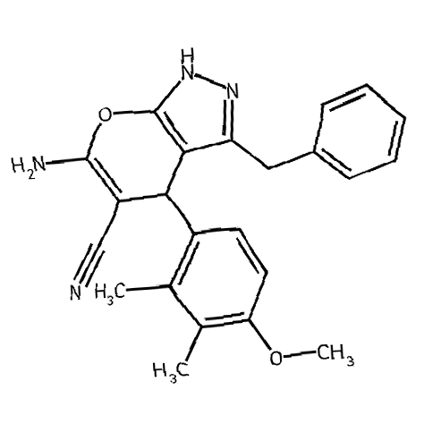 COc1ccc(C2C(C#N)=C(N)Oc3[nH]nc(Cc4ccccc4)c32)c(C)c1C